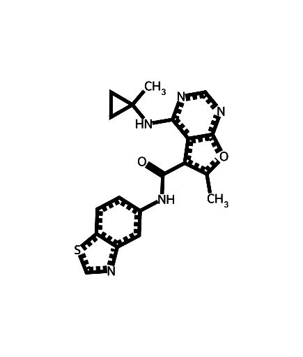 Cc1oc2ncnc(NC3(C)CC3)c2c1C(=O)Nc1ccc2scnc2c1